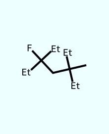 CCC(C)(CC)CC(F)(CC)CC